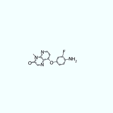 Cn1c(=O)cnc2c(Oc3ccc(N)c(F)c3)ccnc21